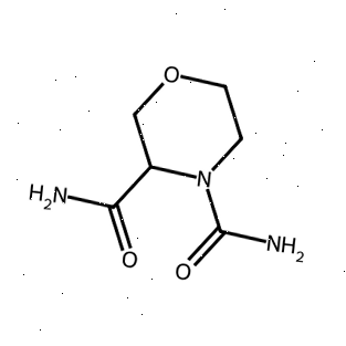 NC(=O)C1COCCN1C(N)=O